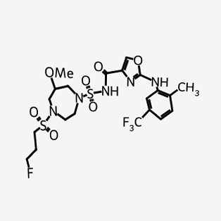 COC1CN(S(=O)(=O)CCCF)CCN(S(=O)(=O)NC(=O)c2coc(Nc3cc(C(F)(F)F)ccc3C)n2)C1